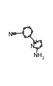 N#Cc1cccc(-n2ccc(N)n2)c1